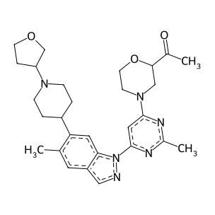 CC(=O)C1CN(c2cc(-n3ncc4cc(C)c(C5CCN(C6CCOC6)CC5)cc43)nc(C)n2)CCO1